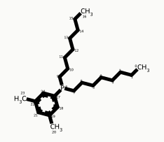 CCCCCCCCP(CCCCCCCC)c1cc(C)cc(C)c1